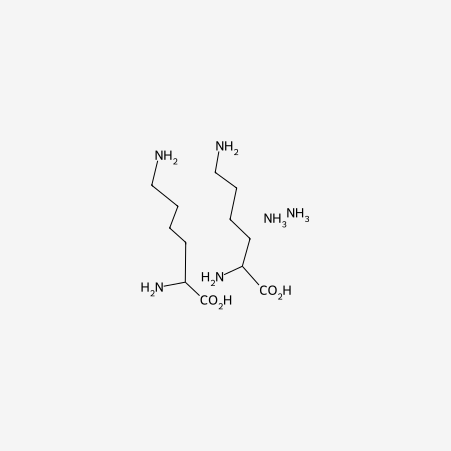 N.N.NCCCCC(N)C(=O)O.NCCCCC(N)C(=O)O